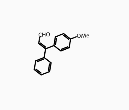 COc1ccc(/C(=C\C=O)c2ccccc2)cc1